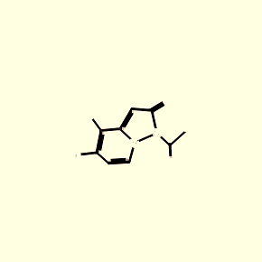 O=c1cc2c(F)c(Br)ccn2n1C(F)F